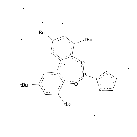 CC(C)(C)c1cc(C(C)(C)C)c2op(-c3cccs3)oc3c(C(C)(C)C)cc(C(C)(C)C)cc3c2c1